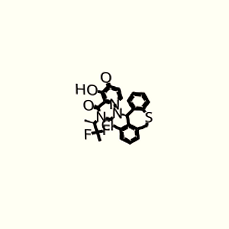 C[C@@H](N1CN([C@H]2c3ccccc3SCc3cccc(Cl)c32)n2ccc(=O)c(O)c2C1=O)C(C)(F)F